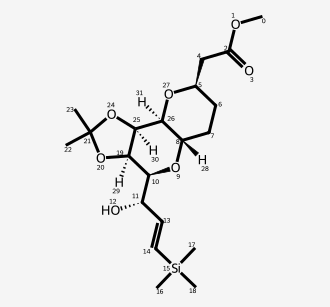 COC(=O)C[C@H]1CC[C@@H]2O[C@@H]([C@@H](O)/C=C/[Si](C)(C)C)[C@H]3OC(C)(C)O[C@H]3[C@H]2O1